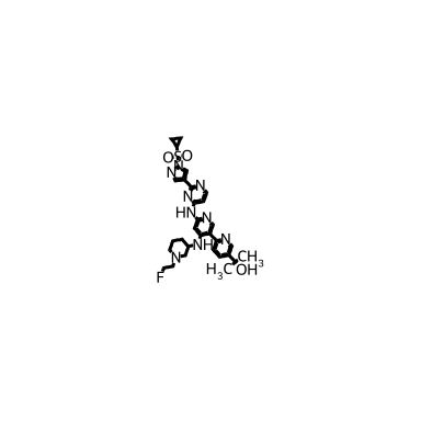 CC(C)(O)c1ccc(-c2cnc(Nc3ccnc(-c4cnn(S(=O)(=O)C5CC5)c4)n3)cc2NC2CCCN(CCF)C2)nc1